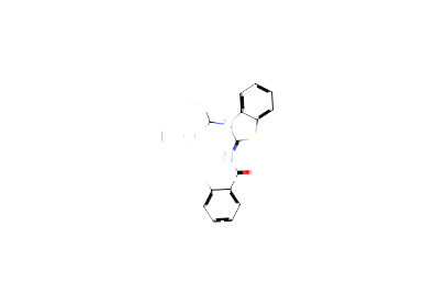 CCC(C(=O)O)n1c(=NC(=O)c2ccccc2F)sc2ccccc21